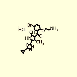 Cc1[nH]c(-c2nnc(C3CC3)o2)c(C)c1C(=O)c1cc(Br)ccc1OCCN.Cl